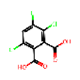 O=C(O)c1c(Cl)cc(Cl)c(Cl)c1C(=O)O